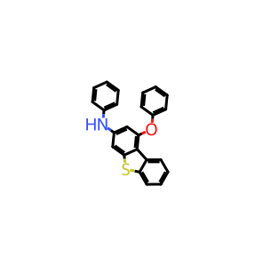 c1ccc(Nc2cc(Oc3ccccc3)c3c(c2)sc2ccccc23)cc1